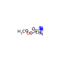 CC1=C(CCc2nnn[nH]2)c2ccccc2/C1=C\c1ccc(Oc2cccc(C)c2)cc1